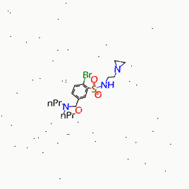 CCCN(CCC)C(=O)c1ccc(Br)c(S(=O)(=O)NCCN2CC2)c1